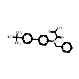 CC(C)(C)c1ccc(-c2ccc(N(Cc3ccccc3)C(=O)C(=O)O)cc2)cc1